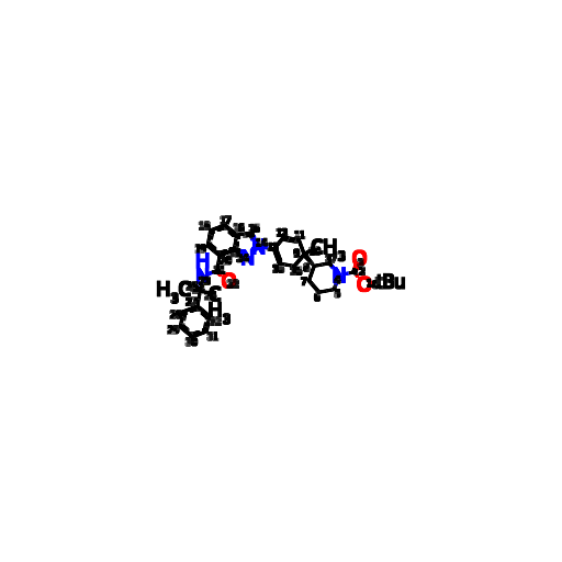 CC(C)(C)OC(=O)N1CCC[C@@H](C2(C)C=CC(n3cc4cccc(C(=O)NC(C)(C)c5ccccc5)c4n3)=CC2)C1